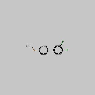 O=CSc1ccc(-c2ccc(F)c(F)c2)cc1